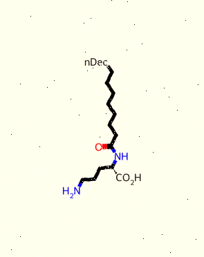 CCCCCCCCCCCCCCCCCC(=O)N[C@@H](CCCN)C(=O)O